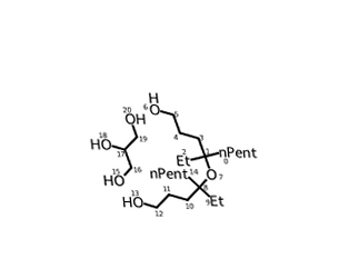 CCCCCC(CC)(CCCO)OC(CC)(CCCO)CCCCC.OCC(O)CO